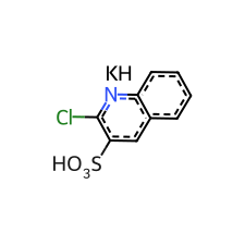 O=S(=O)(O)c1cc2ccccc2nc1Cl.[KH]